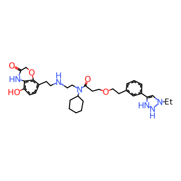 CCN1C=C(c2cccc(CCOCCC(=O)N(CCNCCc3ccc(O)c4c3OCC(=O)N4)C3CCCCC3)c2)NN1